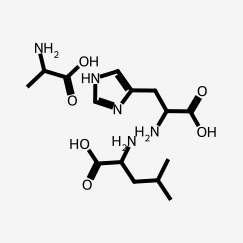 CC(C)CC(N)C(=O)O.CC(N)C(=O)O.NC(Cc1c[nH]cn1)C(=O)O